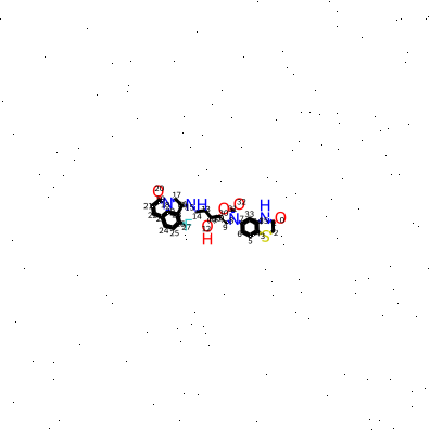 O=C1CSc2ccc(N3C[C@@H]([C@H](O)CCN[C@H]4Cn5c(=O)ccc6ccc(F)c4c65)OC3=O)cc2N1